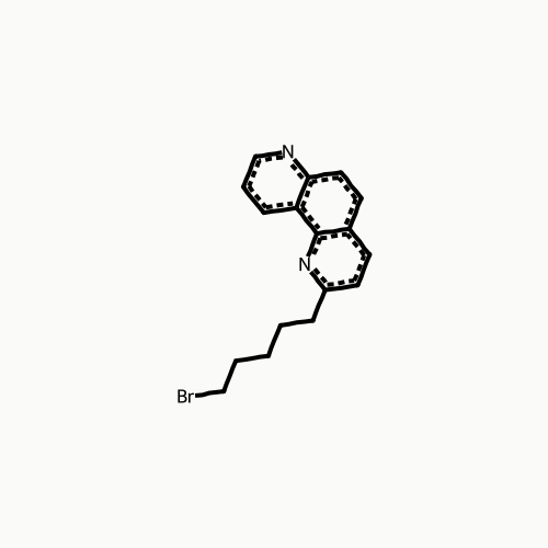 BrCCCCCc1ccc2ccc3ncccc3c2n1